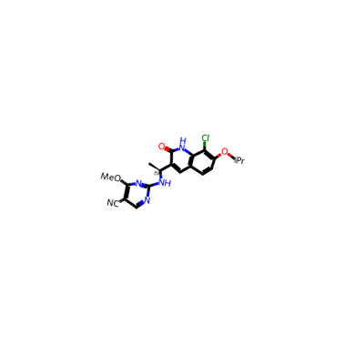 COc1nc(N[C@@H](C)c2cc3ccc(OC(C)C)c(Cl)c3[nH]c2=O)ncc1C#N